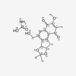 COC1=C(C)C(=O)c2c(cc(CO)c3c2CC2OC(C)(C)OC32)C1=O.NC(=O)O